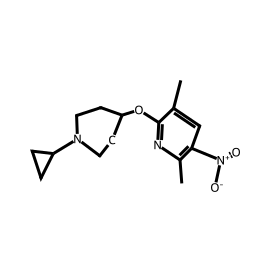 Cc1cc([N+](=O)[O-])c(C)nc1OC1CCN(C2CC2)CC1